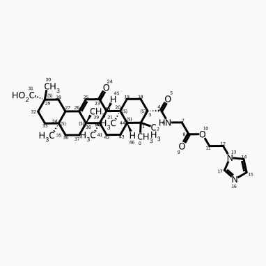 CC1(C)[C@@H](C(=O)NCC(=O)OCCn2ccnc2)CC[C@]2(C)[C@H]3C(=O)C=C4C5C[C@@](C)(C(=O)O)CC[C@]5(C)CC[C@@]4(C)[C@]3(C)CC[C@@H]12